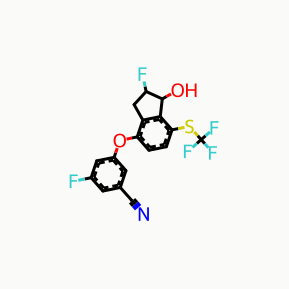 N#Cc1cc(F)cc(Oc2ccc(SC(F)(F)F)c3c2CC(F)C3O)c1